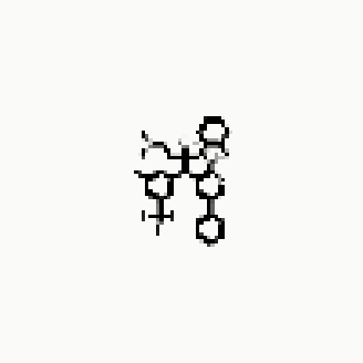 CC1=C(CC(O)(CCN(C)C)C(c2cc(C)cc(C(F)(F)F)c2)c2cc(-c3ccccc3)cnc2O)C=CCC1